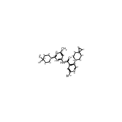 Cc1cc(NC(=O)c2cc(Br)ncc2N2CCC3(CC2)CC3)nc(N2CCC(F)(F)CC2)n1